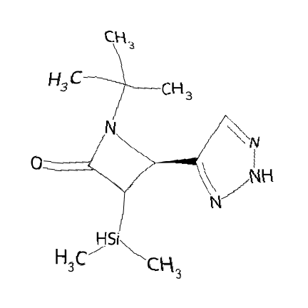 C[SiH](C)C1C(=O)N(C(C)(C)C)[C@H]1c1cn[nH]n1